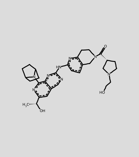 C[C@@H](O)c1cc2cnc(Nc3ccc4c(n3)CCN(C(=O)[C@@H]3CCN(CCO)C3)C4)nc2c(N2C3CCC2CC3)n1